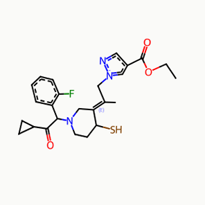 CCOC(=O)c1cnn(C/C(C)=C2\CN(C(C(=O)C3CC3)c3ccccc3F)CCC2S)c1